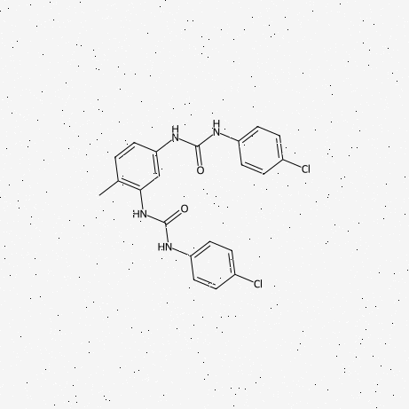 Cc1ccc(NC(=O)Nc2ccc(Cl)cc2)cc1NC(=O)Nc1ccc(Cl)cc1